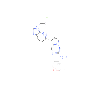 Cc1nc2ccc(-c3ccn4nc(N[C@@H]5CCOC[C@H]5F)ncc34)nc2n1CC(F)F